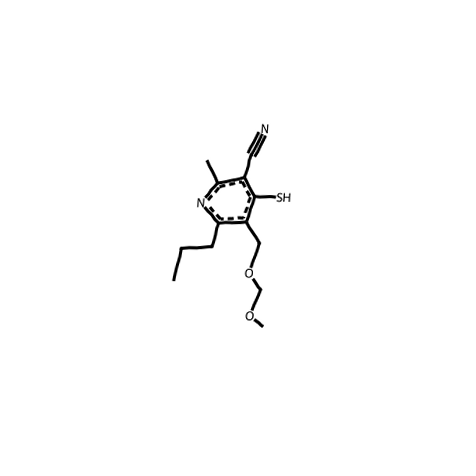 CCCc1nc(C)c(C#N)c(S)c1COCOC